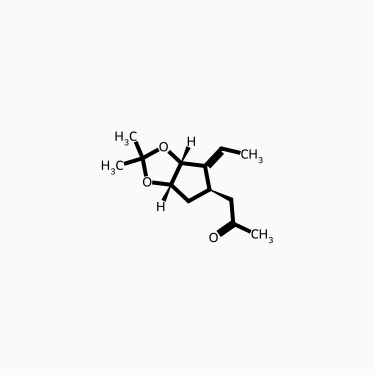 C/C=C1\[C@@H](CC(C)=O)C[C@@H]2OC(C)(C)O[C@H]12